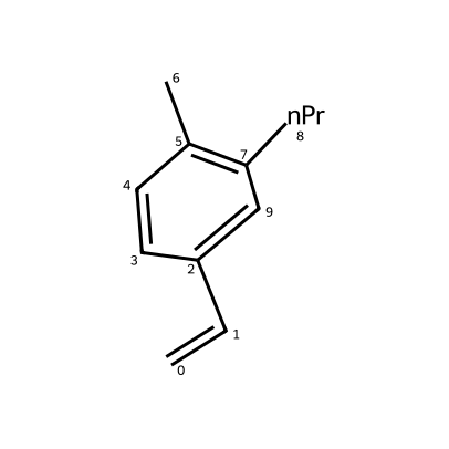 C=Cc1ccc(C)c(CCC)c1